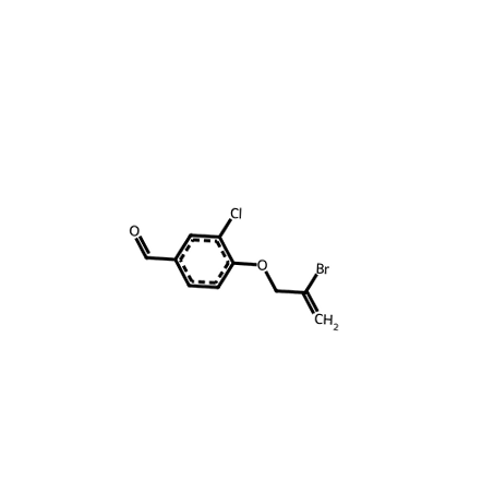 C=C(Br)COc1ccc(C=O)cc1Cl